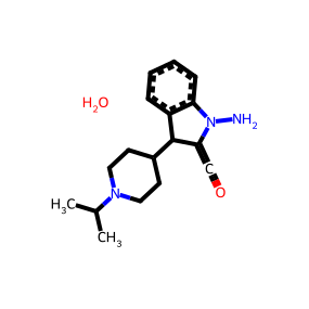 CC(C)N1CCC(C2C(=C=O)N(N)c3ccccc32)CC1.O